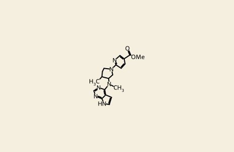 COC(=O)c1ccc(N2CCC(C)C(N(C)c3ncnc4[nH]ccc34)C2)nc1